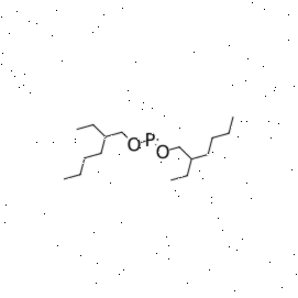 CCCCC(CC)CO[P]OCC(CC)CCCC